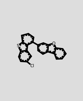 Clc1ccc2sc3cccc(-c4ccc5c(c4)oc4ccccc45)c3c2c1